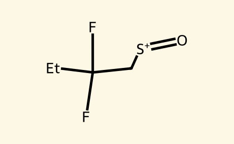 CCC(F)(F)C[S+]=O